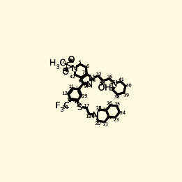 CS(=O)(=O)N1CCc2c(c(-c3ccc(C(F)(F)F)c(SCCN4CCC5CCCCC5C4)c3)nn2C[C@@H](O)CN2CCCCC2)C1